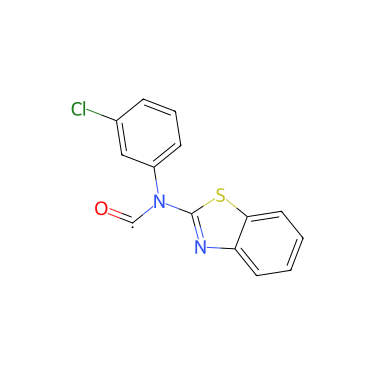 O=[C]N(c1cccc(Cl)c1)c1nc2ccccc2s1